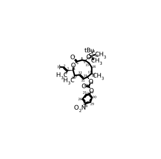 C/C(=C\I)[C@H]1OC(=O)C[C@H](O[Si](C)(C)C(C)(C)C)CC[C@H](C)[C@@H](OC(=O)Oc2ccc([N+](=O)[O-])cc2)/C=C/[C@@H]1C